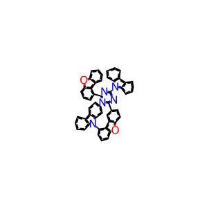 c1ccc2c(c1)oc1cccc(-c3nc(-c4ccc5oc6cccc(-n7c8ccccc8c8ccccc87)c6c5c4)nc(-n4c5ccccc5c5ccccc54)n3)c12